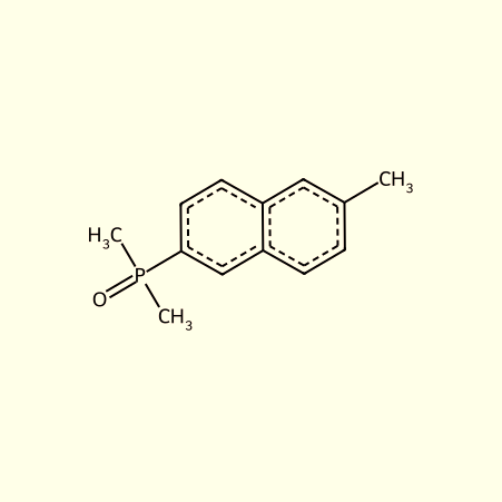 Cc1ccc2cc(P(C)(C)=O)ccc2c1